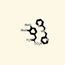 COc1ccc(C[C@H](N)C(=O)O)cc1OC.c1ccc(CNCc2ccccn2)nc1